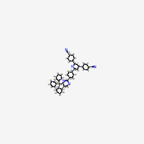 N#Cc1ccc(-c2cc(-c3ccc(C#N)cc3)nc(-c3ccc(-c4ncc5c(n4)C(c4ccccc4)(c4ccccc4)c4ccccc4-5)cc3)c2)cc1